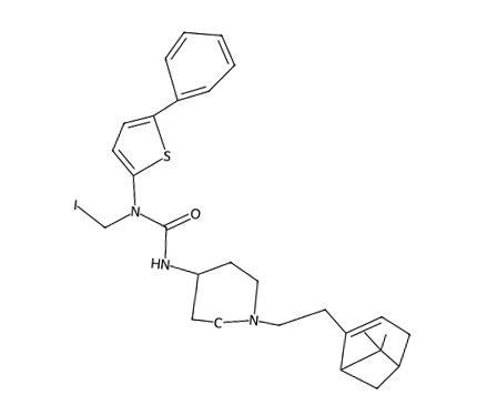 CC1(C)C2CC=C(CCN3CCC(NC(=O)N(CI)c4ccc(-c5ccccc5)s4)CC3)C1C2